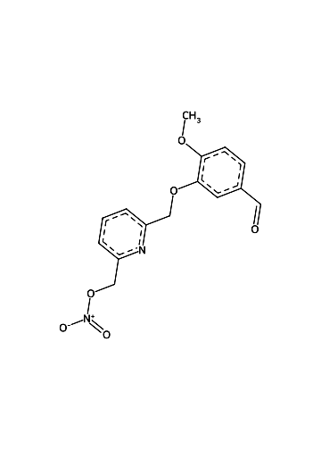 COc1ccc(C=O)cc1OCc1cccc(CO[N+](=O)[O-])n1